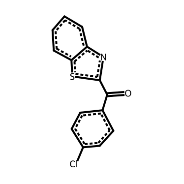 O=C(c1ccc(Cl)cc1)c1nc2ccccc2s1